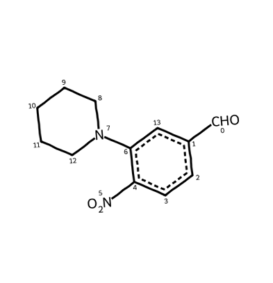 O=Cc1ccc([N+](=O)[O-])c(N2CCCCC2)c1